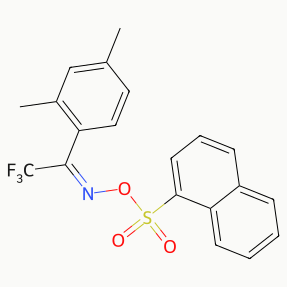 Cc1ccc(C(=NOS(=O)(=O)c2cccc3ccccc23)C(F)(F)F)c(C)c1